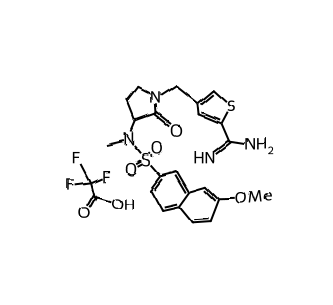 COc1ccc2ccc(S(=O)(=O)N(C)C3CCN(Cc4csc(C(=N)N)c4)C3=O)cc2c1.O=C(O)C(F)(F)F